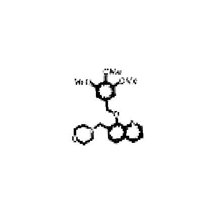 COc1cc(COc2c(CN3CCOCC3)ccc3cccnc23)cc(OC)c1OC